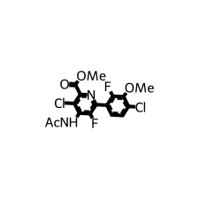 COC(=O)c1nc(-c2ccc(Cl)c(OC)c2F)c(F)c(NC(C)=O)c1Cl